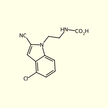 N#Cc1cc2c(Cl)cccc2n1CCNC(=O)O